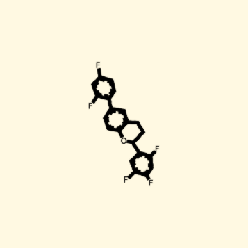 Fc1ccc(-c2ccc3c(c2)CCC(c2cc(F)c(F)cc2F)O3)c(F)c1